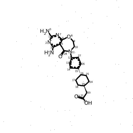 Nc1nc(N)c2c(n1)OCCN(c1ccc([C@H]3CC[C@H](CC(=O)O)CC3)cc1)C2=O